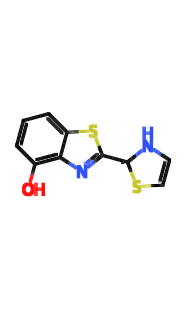 Oc1cccc2sc([C]3NC=CS3)nc12